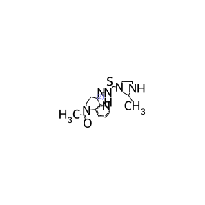 CCC1CN(C(=S)N/N=C2/CCN(C(C)=O)c3cccnc32)CCN1